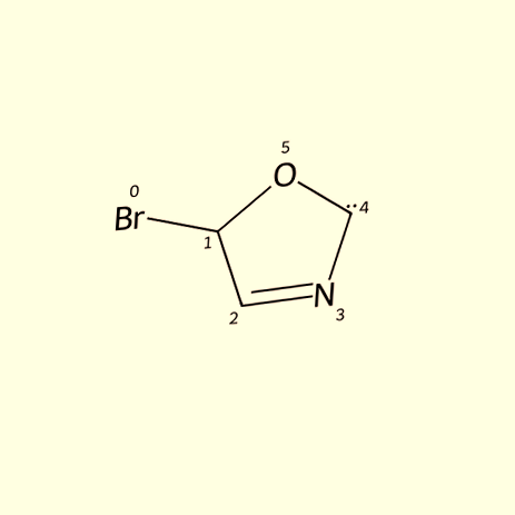 BrC1C=N[C]O1